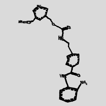 COc1cncc(COC(=O)NCc2ccc(C(=O)Nc3ccccc3N)cc2)c1